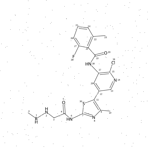 CBNCC(=O)Nc1nc(C)c(-c2cnc(Cl)c(NC(=O)c3c(C)cccc3F)c2)s1